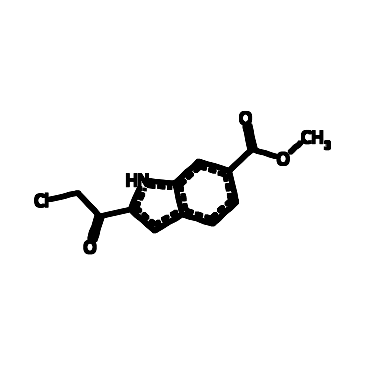 COC(=O)c1ccc2cc(C(=O)CCl)[nH]c2c1